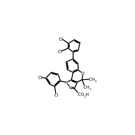 CC1(C)Oc2cc(-c3cccc(Cl)c3Cl)ccc2-c2c1c(C(=O)O)nn2-c1ccc(Cl)cc1Cl